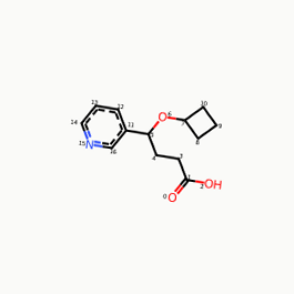 O=C(O)CCC(OC1CCC1)c1cccnc1